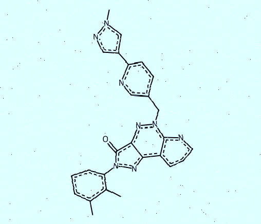 Cc1cccc(-n2nc3c4cccnc4n(Cc4ccc(-c5cnn(C)c5)nc4)nc-3c2=O)c1C